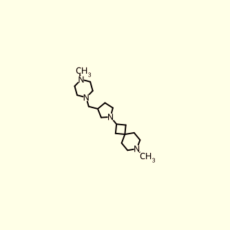 CN1CCN(CC2CCN(C3CC4(CCN(C)CC4)C3)C2)CC1